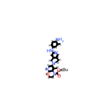 Cc1cc(Nc2cc3c(cn2)CCN(c2cnc4c(c2C)N(C(=O)OC(C)(C)C)CCO4)C3)ccc1N